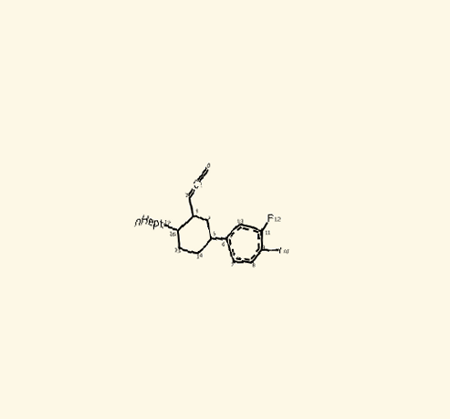 C=C=CC1CC(c2ccc(I)c(F)c2)CCC1CCCCCCC